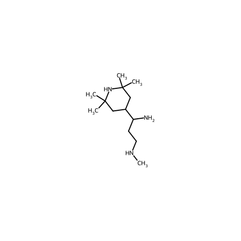 CNCCC(N)C1CC(C)(C)NC(C)(C)C1